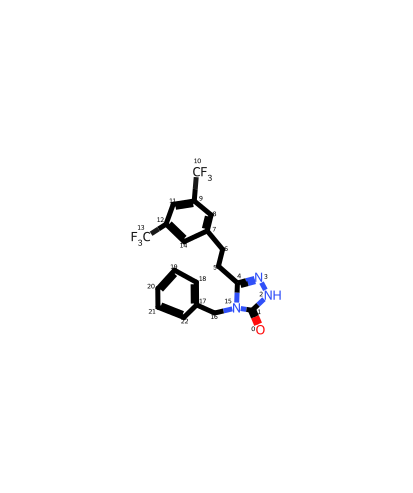 O=c1[nH]nc(CCc2cc(C(F)(F)F)cc(C(F)(F)F)c2)n1Cc1ccccc1